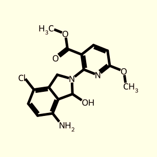 COC(=O)c1ccc(OC)nc1N1Cc2c(Cl)ccc(N)c2C1O